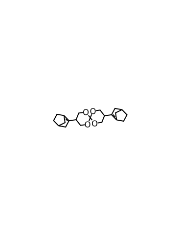 C1CC2CC1=C(C1COC3(OC1)OCC(C1=C4CCC(C4)C1)CO3)C2